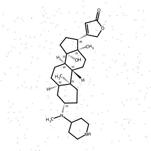 CN(C1CCNCC1)[C@H]1CC[C@@]2(C)[C@H](CC[C@@H]3[C@@H]2CC[C@]2(C)[C@@H](C4=CC(=O)OC4)CC[C@]32O)C1